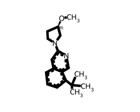 CO[C@@H]1CCN(c2cc3cccc(C(C)(C)C)c3cn2)C1